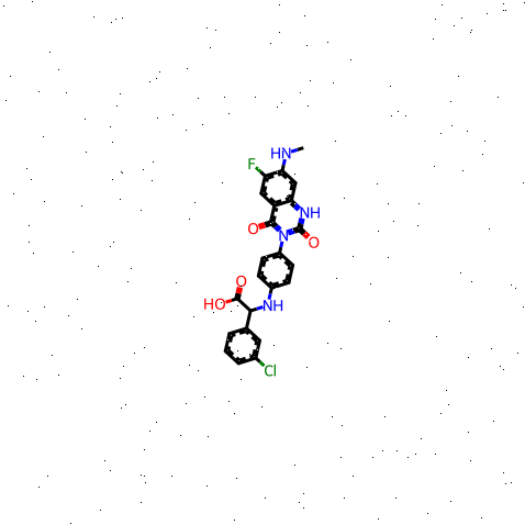 CNc1cc2[nH]c(=O)n(-c3ccc(NC(C(=O)O)c4cccc(Cl)c4)cc3)c(=O)c2cc1F